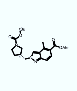 COC(=O)c1ccc2nn(C[C@@H]3CCN(C(=O)OC(C)(C)C)C3)cc2c1C